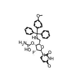 COc1ccc(C(NC[C@H]2O[C@@H](n3ccc(=O)[nH]c3=O)[C@H](F)[C@@H]2OP(N)O)(c2ccccc2)c2ccccc2)cc1